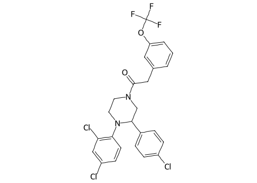 O=C(Cc1cccc(OC(F)(F)F)c1)N1CCN(c2ccc(Cl)cc2Cl)C(c2ccc(Cl)cc2)C1